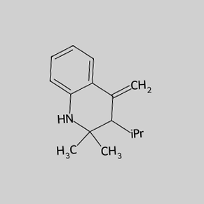 C=C1c2ccccc2NC(C)(C)C1C(C)C